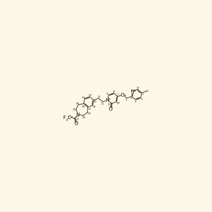 Cc1ccc(COc2ccn(CCc3ccc4c(c3)CCN(C(=O)C(F)(F)F)CC4)c(=O)c2)nc1